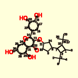 CC1C(C(C)(C)C)C(C2CCC(Oc3c(-c4ccc(O)c(O)c4)oc4cc(O)cc(O)c4c3=O)C2)C1C(C)(C)C